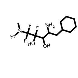 CCN(C)C(F)(F)C(O)(F)C(O)C(N)CC1CCCCC1